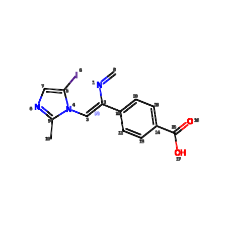 C=N/C(=C\n1c(I)cnc1C)c1ccc(C(=O)O)cc1